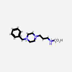 O=C(O)NCCCN1CCN(Cc2ccccc2)CC1